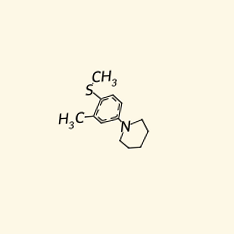 CSc1ccc(N2CCCCC2)cc1C